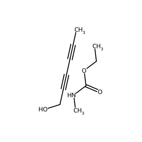 CC#CC#CCO.CCOC(=O)NC